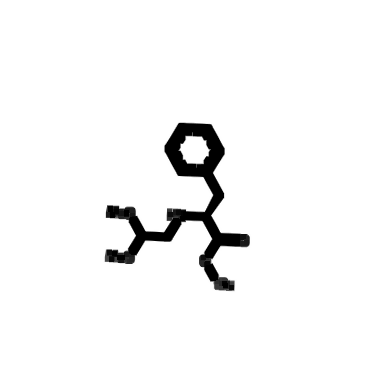 COC(CN[C@@H](Cc1ccccc1)C(=O)OC(C)(C)C)OC